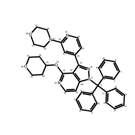 c1ccc(C(c2ccccc2)(c2ccccc2)n2nc(-c3ccnc(N4CCOCC4)c3)c3c(OC4CCOCC4)nccc32)cc1